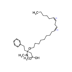 CCCCC/C=C\C/C=C\CCCCCCCCOC(CCc1ccccc1)(CC(=O)O)N(C)C